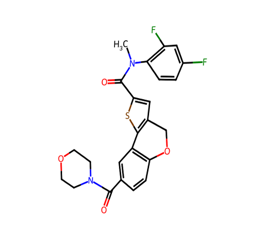 CN(C(=O)c1cc2c(s1)-c1cc(C(=O)N3CCOCC3)ccc1OC2)c1ccc(F)cc1F